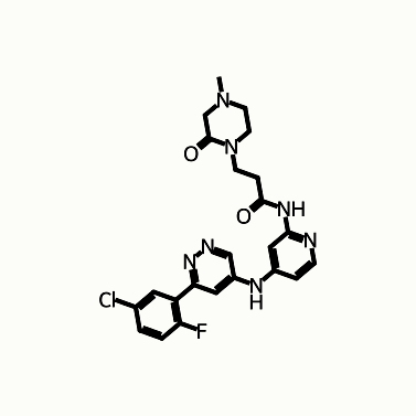 CN1CCN(CCC(=O)Nc2cc(Nc3cnnc(-c4cc(Cl)ccc4F)c3)ccn2)C(=O)C1